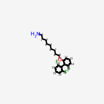 NCCCCCCCCCOc1cccc(F)c1-c1c(F)cccc1F